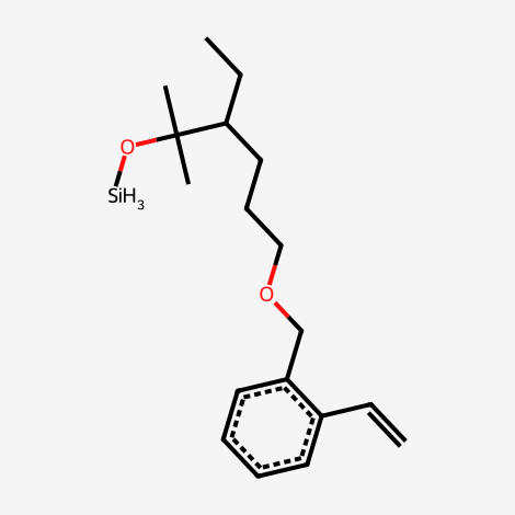 C=Cc1ccccc1COCCCC(CC)C(C)(C)O[SiH3]